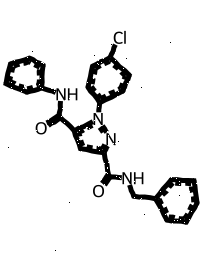 O=C(NCc1ccccc1)c1cc(C(=O)Nc2ccccc2)n(-c2ccc(Cl)cc2)n1